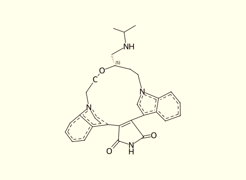 CC(C)NC[C@@H]1CCn2cc(c3ccccc32)C2=C(C(=O)NC2=O)c2cn(c3ccccc23)CCO1